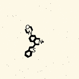 CN1Cc2cc(N3CCOCC3)ccc2C(c2cc3ccccc3s2)C1